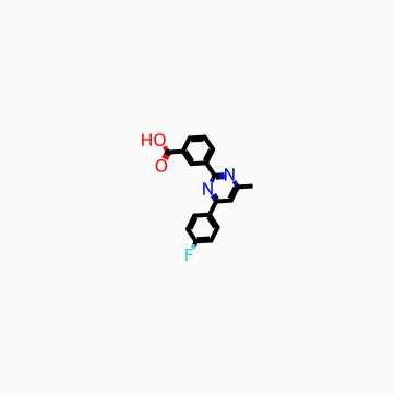 Cc1cc(-c2ccc(F)cc2)nc(-c2cccc(C(=O)O)c2)n1